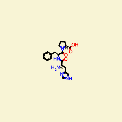 N[C@@H](Cc1c[nH]cn1)C(=O)N[C@@H](Cc1ccccc1)C(=O)N1CCC[C@H]1C(=O)O